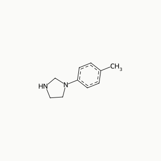 Cc1ccc(N2CCNC2)cc1